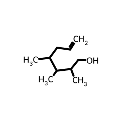 C=CCC(C)C(C)C(C)CO